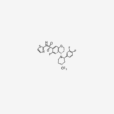 O=S(=O)(Nc1nccs1)c1cc2c(cc1F)[C@@H](N1CC[C@@H](C(F)(F)F)C[C@@H]1c1ccc(F)c(F)c1)CCO2